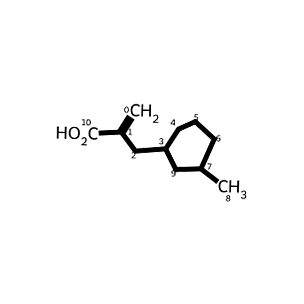 C=C(CC1CCCC(C)C1)C(=O)O